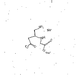 NCC(CC(=O)[O-])NCC(=O)[O-].[Na+].[Na+]